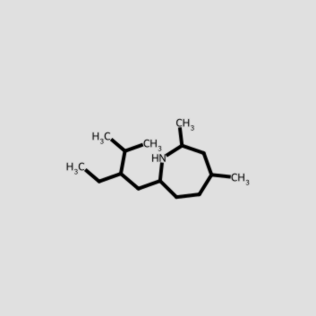 CCC(CC1CCC(C)CC(C)N1)C(C)C